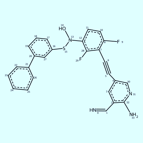 N=Cc1cc(C#Cc2c(F)ccc(N(O)Sc3cccc(-c4ccccc4)c3)c2F)cnc1N